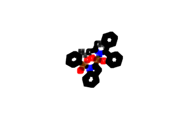 CC(C)N(C(c1ccccc1)c1ccccc1)S(=O)(=O)c1cc2ccccc2n1S(=O)(=O)c1ccccc1